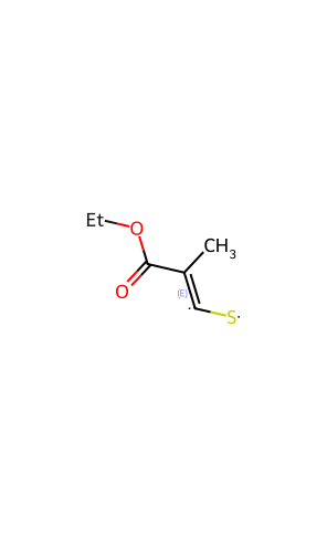 CCOC(=O)/C(C)=[C]/[S]